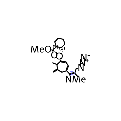 C=C1CC(/C(NC)=C(/C)CN=[N+]=[N-])=CC=C(OC[C@H]2CCCC[C@@H]2C(=O)OC)C1C